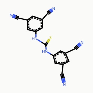 N#Cc1cc(C#N)cc(NC(=S)Nc2cc(C#N)cc(C#N)c2)c1